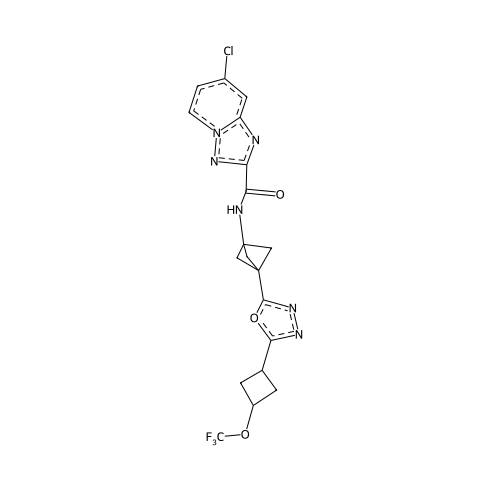 O=C(NC12CC(c3nnc(C4CC(OC(F)(F)F)C4)o3)(C1)C2)c1nc2cc(Cl)ccn2n1